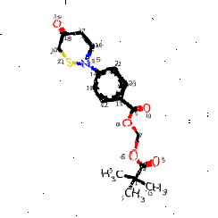 CC(C)(C)C(=O)OCOC(=O)c1ccc(N2CCC(=O)CS2)cc1